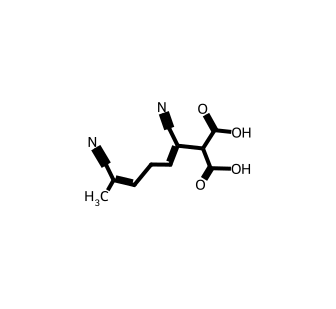 CC(C#N)=CCC=C(C#N)C(C(=O)O)C(=O)O